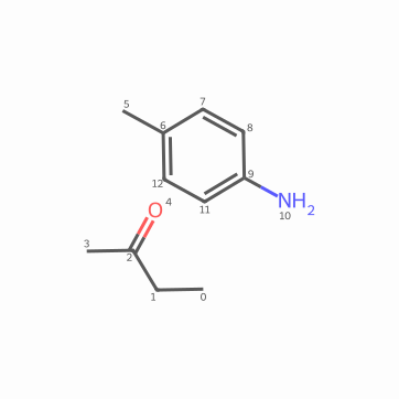 CCC(C)=O.Cc1ccc(N)cc1